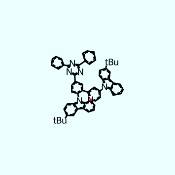 CC(C)(C)c1ccc2c(c1)c1ccccc1n2-c1ccnc(-c2cc(-c3nc(-c4ccccc4)nc(-c4ccccc4)n3)ccc2-n2c3ccccc3c3cc(C(C)(C)C)ccc32)c1